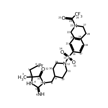 CC(C)CC1(C)NC(=N)N(CC2CCN(S(=O)(=O)c3ccc4c(c3)CN(C(=O)C(F)(F)F)CC4)CC2)C1=O